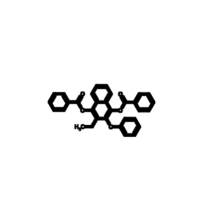 CCc1c(Oc2ccccc2)c(OC(=O)c2ccccc2)c2ccccc2c1OC(=O)c1ccccc1